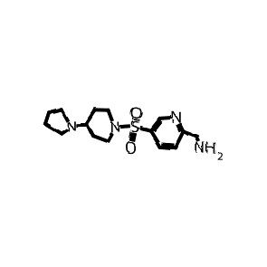 NCc1ccc(S(=O)(=O)N2CCC(N3CCCC3)CC2)cn1